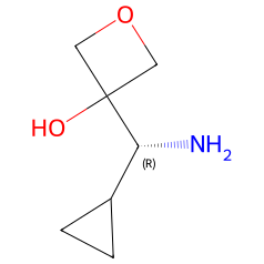 N[C@H](C1CC1)C1(O)COC1